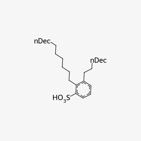 CCCCCCCCCCCCCCCCc1c(CCCCCCCCCCCC)cccc1S(=O)(=O)O